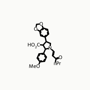 CCCC(=O)/C=C/N1CC(c2ccc3c(c2)OCO3)C(C(=O)O)C1c1ccc(OC)cc1